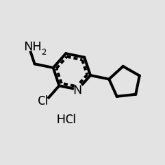 Cl.NCc1ccc(C2CCCC2)nc1Cl